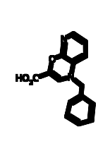 O=C(O)C1=CN(Cc2ccccc2)c2cccnc2O1